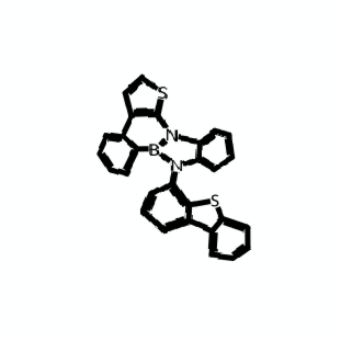 c1ccc2c(c1)B1N(c3ccccc3N1c1cccc3c1sc1ccccc13)c1sccc1-2